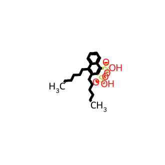 CCCCCCc1c(S(=O)(=O)O)c(S(=O)(=O)O)c2ccccc2c1CCCCCC